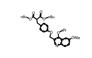 CCCCOC(=O)C(Cc1ccc(OCc2cnc3ccc(OC)cc3c2OC(C)C)cc1)C(=O)OCCCC